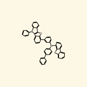 c1ccc(-c2ccc(N(c3cccc(-c4cccc5c4oc4c6ccccc6n(-c6ccccc6)c54)c3)c3cccc4c3sc3ccccc34)cc2)cc1